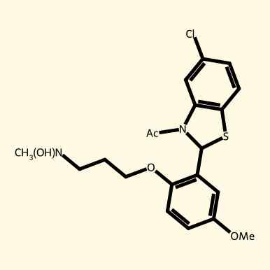 COc1ccc(OCCCN(C)O)c(C2Sc3ccc(Cl)cc3N2C(C)=O)c1